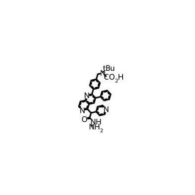 CC(C)(C)N(Cc1ccc(-c2nc3ccnc(C(C(=O)NN)c4ccncc4)c3cc2-c2ccccc2)cc1)C(=O)O